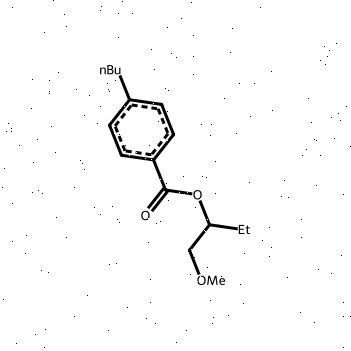 CCCCc1ccc(C(=O)OC(CC)COC)cc1